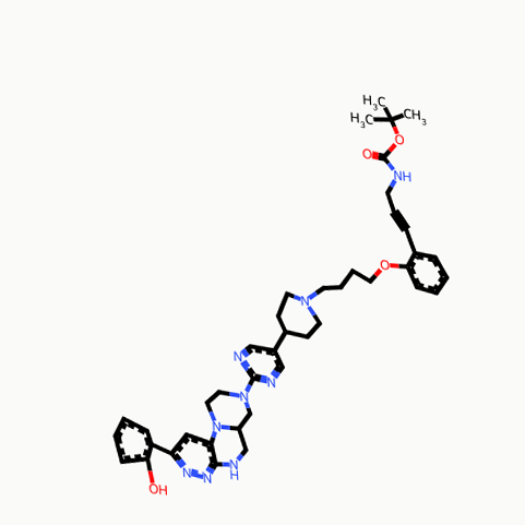 CC(C)(C)OC(=O)NCC#Cc1ccccc1OCCCCN1CCC(c2cnc(N3CCN4c5cc(-c6ccccc6O)nnc5NCC4C3)nc2)CC1